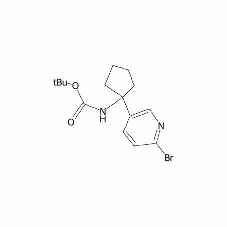 CC(C)(C)OC(=O)NC1(c2ccc(Br)nc2)CCCC1